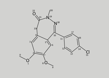 COc1cc2c(cc1OC)C(c1ccc(Cl)cc1)=NN(C)C(=O)C2